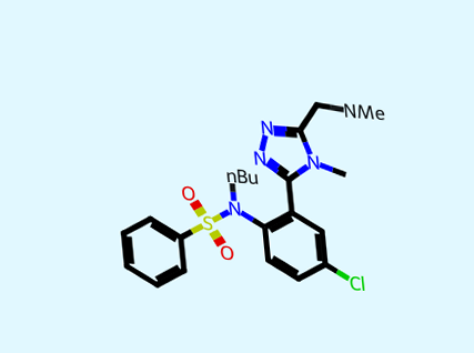 CCCCN(c1ccc(Cl)cc1-c1nnc(CNC)n1C)S(=O)(=O)c1ccccc1